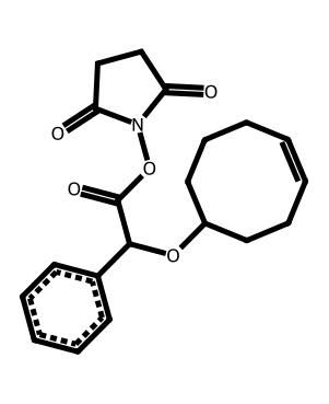 O=C(ON1C(=O)CCC1=O)C(OC1CCC=CCCC1)c1ccccc1